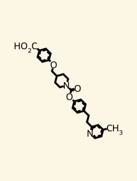 Cc1ccnc(CCc2ccc(OC(=O)N3CCC(COc4ccc(C(=O)O)cc4)CC3)cc2)c1